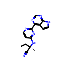 CC[C@](C)(C#N)Nc1ccnc(-c2ncnc3[nH]ccc23)n1